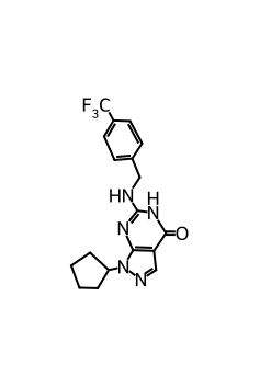 O=c1[nH]c(NCc2ccc(C(F)(F)F)cc2)nc2c1cnn2C1CCCC1